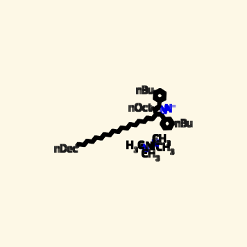 CCCCCCCCCCCCCCCCCCCCCCCCCCC=CC1=C(c2cccc(CCCC)c2)[N+](=[N-])C(c2cccc(CCCC)c2)=C1CCCCCCCC.C[N](C)[Ni][N](C)C